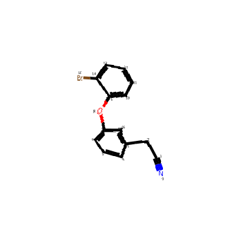 N#C[CH]c1cccc(Oc2ccccc2Br)c1